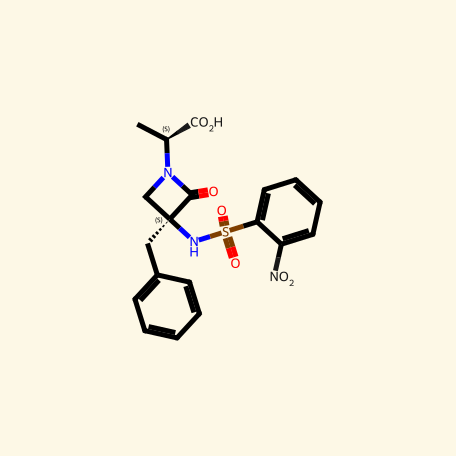 C[C@@H](C(=O)O)N1C[C@](Cc2ccccc2)(NS(=O)(=O)c2ccccc2[N+](=O)[O-])C1=O